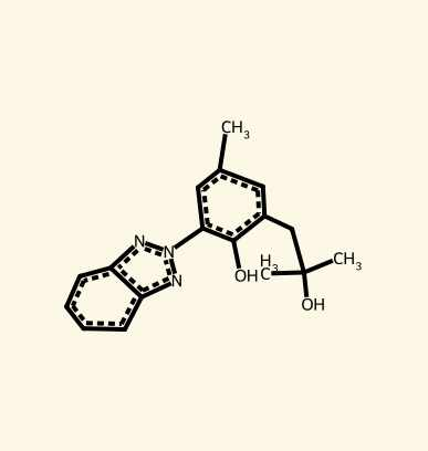 Cc1cc(CC(C)(C)O)c(O)c(-n2nc3ccccc3n2)c1